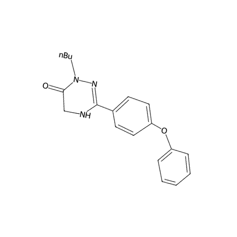 CCCCN1N=C(c2ccc(Oc3ccccc3)cc2)NCC1=O